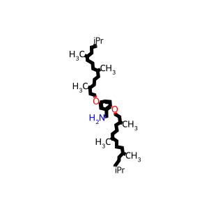 CC(C)CCCC(C)CCCC(C)CCCC(C)CCOc1ccc(OCCC(C)CCCC(C)CCCC(C)CCCC(C)C)c(CN)c1